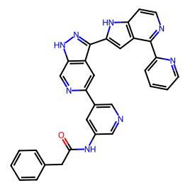 O=C(Cc1ccccc1)Nc1cncc(-c2cc3c(-c4cc5c(-c6ccccn6)nccc5[nH]4)n[nH]c3cn2)c1